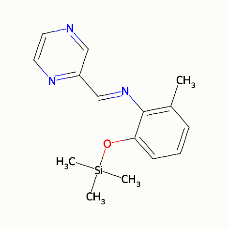 Cc1cccc(O[Si](C)(C)C)c1N=Cc1cnccn1